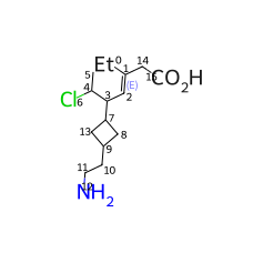 CC/C(=C\C(C(C)Cl)C1CC(CCN)C1)CC(=O)O